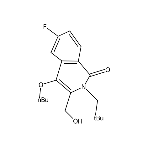 CCCCOc1c(CO)n(CC(C)(C)C)c(=O)c2ccc(F)cc12